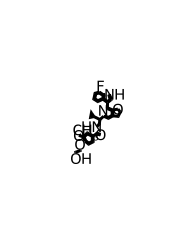 COc1cc(C(=O)NCC(c2cc3c(c(-c4c[nH]c5c(F)cccc45)n2)OCC3)C2CC2)ccc1OCCO